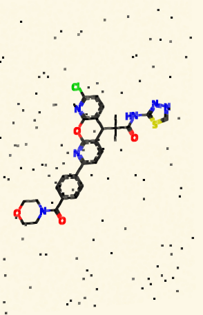 CC(C)(C(=O)Nc1nncs1)C1c2ccc(Cl)nc2Oc2nc(-c3ccc(C(=O)N4CCOCC4)cc3)ccc21